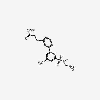 COC(=O)CCc1cccc(-c2cc(C(F)(F)F)cc(S(=O)(=O)N(C)C[C@H]3CO3)c2)c1